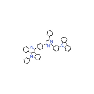 c1ccc(-c2cc(-c3ccc(-c4nc5ccccc5c5c4c4ccccc4n5-c4ccccc4)cc3)nc(-c3cccc(-n4c5ccccc5c5ccccc54)c3)n2)cc1